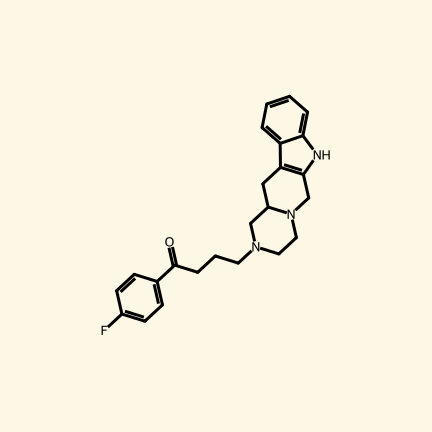 O=C(CCCN1CCN2Cc3[nH]c4ccccc4c3CC2C1)c1ccc(F)cc1